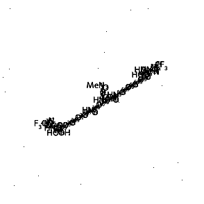 CNC(=O)COCC(=O)NC(COCCC(=O)NCCOCCOCCOCCOC[C@H]1OC[C@H](Nc2cncc(C(F)(F)F)n2)[C@@H](O)[C@H]1O)COCCC(=O)NCCOCCOCCOCCOC[C@H]1OC[C@H](Nc2cncc(C(F)(F)F)n2)[C@@H](O)[C@H]1O